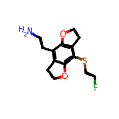 NCCc1c2c(c(SCCF)c3c1OCC3)OCC2